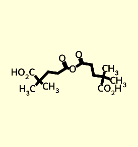 CC(C)(CCC(=O)OC(=O)CCC(C)(C)C(=O)O)C(=O)O